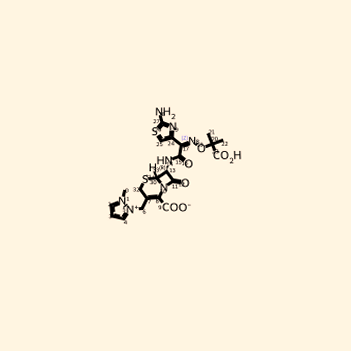 Cn1ccc[n+]1CC1=C(C(=O)[O-])N2C(=O)[C@@H](NC(=O)/C(=N\OC(C)(C)C(=O)O)c3csc(N)n3)[C@H]2SC1